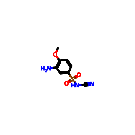 COc1ccc(S(=O)(=O)NC#N)cc1N